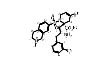 CCOC(=O)[C@@]1(C(=O)[C@H](N)Cc2cccc(C#N)c2)CC(CC)=CCN1S(=O)(=O)c1ccc2c(c1)CN(C)CC2